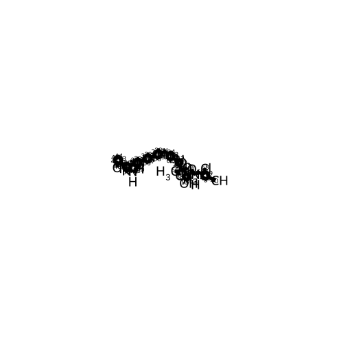 C#Cc1ccc(CNC(=O)[C@@H]2C[C@@H](O)CN2C(=O)C(c2cc(N3CCC(CN4CCC(N5CCC(N6CCN7c8cc(-c9ccccc9O)nnc8NC[C@H]7C6)CC5)CC4)CC3)no2)C(C)C)c(Cl)c1